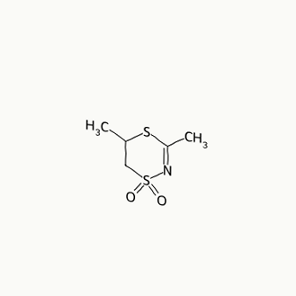 CC1=NS(=O)(=O)CC(C)S1